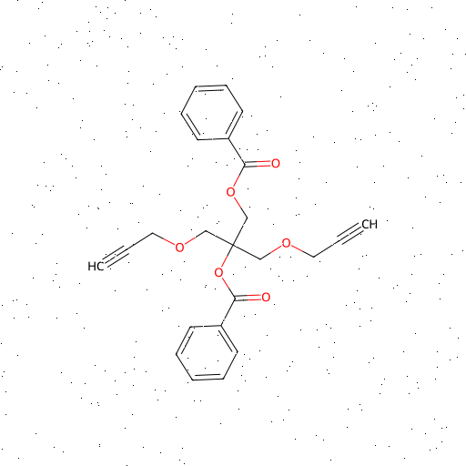 C#CCOCC(COCC#C)(COC(=O)c1ccccc1)OC(=O)c1ccccc1